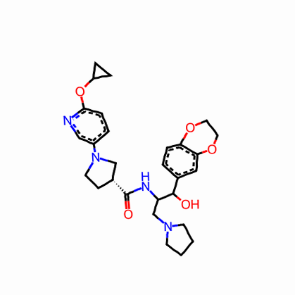 O=C(NC(CN1CCCC1)C(O)c1ccc2c(c1)OCCO2)[C@@H]1CCN(c2ccc(OC3CC3)nc2)C1